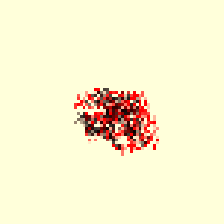 CC1C(O)[C@H](O)[C@H](CO)O[C@H]1O[C@@H]1C(O)[C@H](O)C(CO)O[C@@H]1OCC1O[C@@H](O[C@@H]2C(CO)O[C@@H](O[C@@H]3C(CO)O[C@@H](C)[C@@H](C)C3O)[C@@H](C)C2O)[C@H](O)C(O[C@H]2O[C@H](CO)[C@@H](O)C(O)C2O)[C@@H]1O